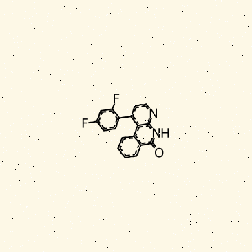 O=c1[nH]c2nccc(-c3ccc(F)cc3F)c2c2ccccc12